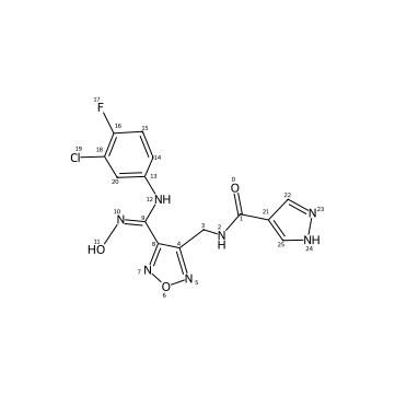 O=C(NCc1nonc1C(=NO)Nc1ccc(F)c(Cl)c1)c1cn[nH]c1